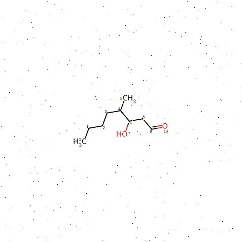 CCCCC(C)C(O)CC=O